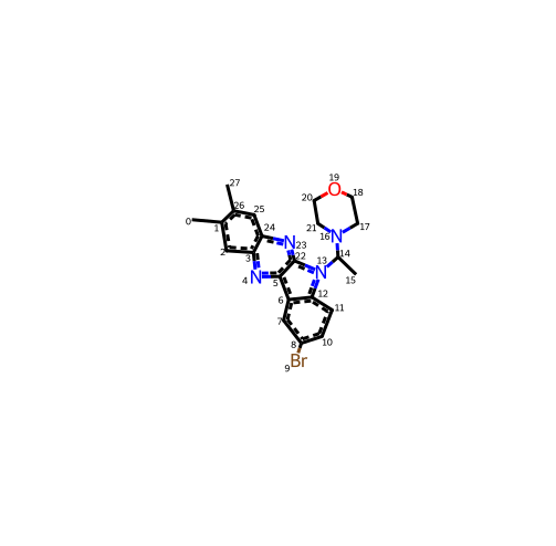 Cc1cc2nc3c4cc(Br)ccc4n(C(C)N4CCOCC4)c3nc2cc1C